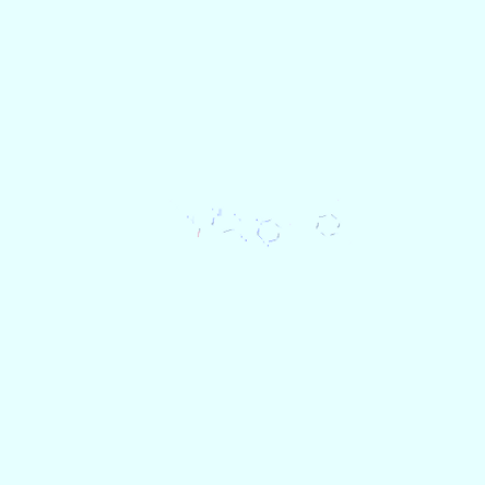 COc1cc(OC)c(F)c(COc2cnc(N/C(N)=C/C(=N)C(=O)N3CC(O)C3)nc2)c1F